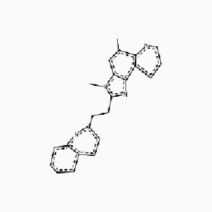 Cc1cc2c(nc(CCc3ccc4ccccc4n3)n2C)c2cccnc12